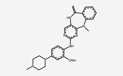 C=C1Nc2cnc(Nc3ccc(N4CCN(C)CC4)cc3OC)nc2N(C)c2ccccc21